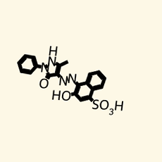 Cc1[nH]n(-c2ccccc2)c(=O)c1N=Nc1c(O)cc(S(=O)(=O)O)c2ccccc12